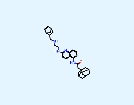 O=C(CC12CC3CC(CC(C3)C1)C2)Nc1cccc2nc(NCCNCC3CC4C=CC3C4)ccc12